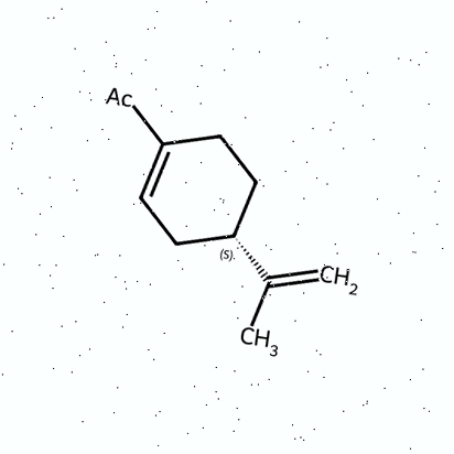 C=C(C)[C@@H]1CC=C(C(C)=O)CC1